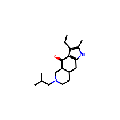 CCc1c(C)[nH]c2c1C(=O)C1CN(CC(C)C)CCC1C2